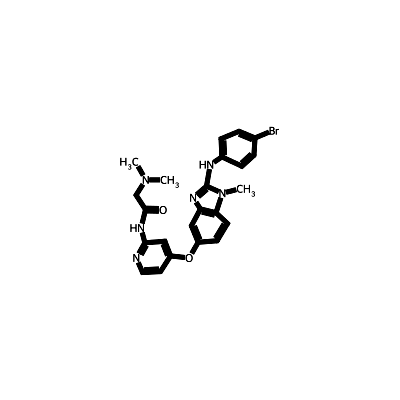 CN(C)CC(=O)Nc1cc(Oc2ccc3c(c2)nc(Nc2ccc(Br)cc2)n3C)ccn1